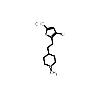 CN1CCC(CCc2sc(C=O)cc2Cl)CC1